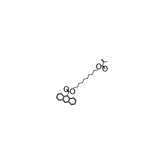 C=C(C)C(=O)OCCCCCCCCCCOC(=O)c1c2ccccc2cc2ccccc12